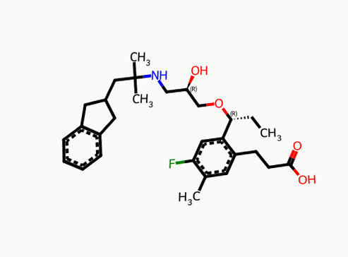 CC[C@@H](OC[C@H](O)CNC(C)(C)CC1Cc2ccccc2C1)c1cc(F)c(C)cc1CCC(=O)O